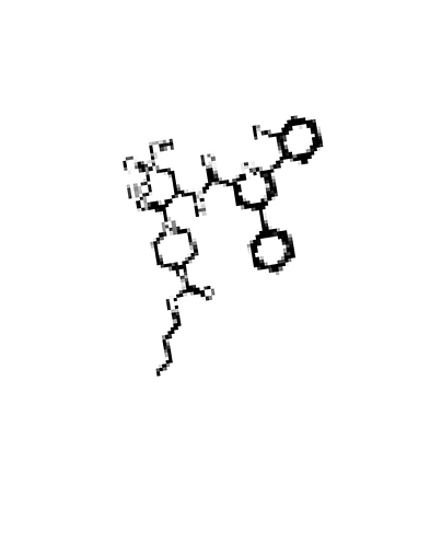 CCCCOC(=O)N1CCN(C(=O)C(CP(=O)(O)O)NC(=O)c2cc(-c3ccccc3)cc(-c3ccccc3F)n2)CC1